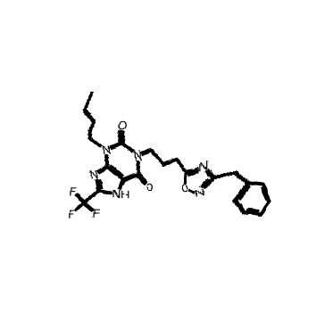 CCCCn1c(=O)n(CCCc2nc(Cc3ccccc3)no2)c(=O)c2[nH]c(C(F)(F)F)nc21